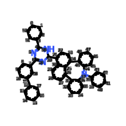 c1ccc(C2=NC(c3cccc(-c4ccccc4)c3)=NC(c3ccc4c5c(cccc35)-c3ccccc3N(c3ccccc3)c3ccccc3-4)N2)cc1